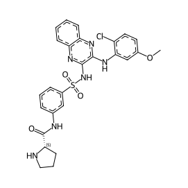 COc1ccc(Cl)c(Nc2nc3ccccc3nc2NS(=O)(=O)c2cccc(NC(=O)[C@@H]3CCCN3)c2)c1